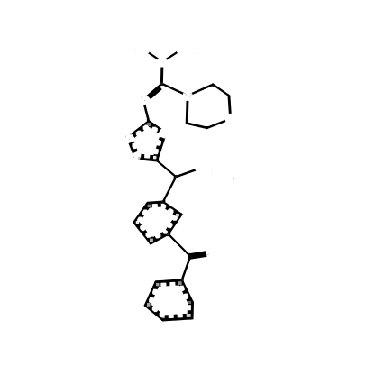 CC(c1cccc(C(=O)c2ccccc2)c1)c1nnc(N=C(N(C)C)N2CCOCC2)o1.Cl